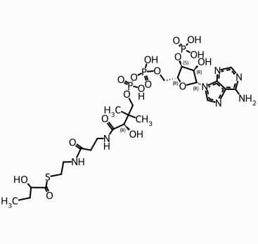 CCC(O)C(=O)SCCNC(=O)CCNC(=O)[C@H](O)C(C)(C)COP(=O)(O)OP(=O)(O)OC[C@H]1O[C@@H](n2cnc3c(N)ncnc32)[C@H](O)[C@@H]1OP(=O)(O)O